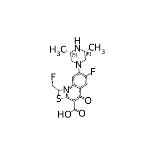 C[C@@H]1CN(c2cc3c(cc2F)c(=O)c(C(=O)O)c2n3C(CF)S2)C[C@H](C)N1